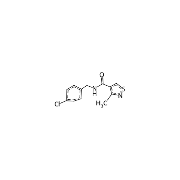 Cc1nscc1C(=O)NCc1ccc(Cl)cc1